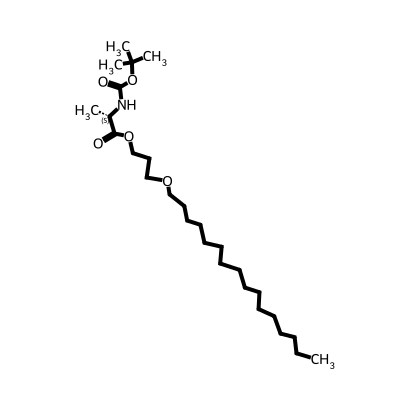 CCCCCCCCCCCCCCCCOCCCOC(=O)[C@H](C)NC(=O)OC(C)(C)C